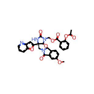 COc1ccc2c(c1)C(=O)N(C[C@@]1(c3cc4ncccc4o3)NC(=O)N(COC(=O)c3ccccc3OC(C)=O)C1=O)C2